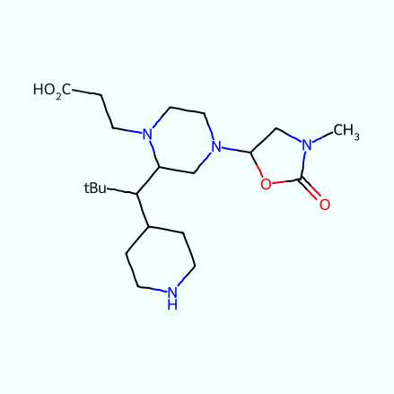 CN1CC(N2CCN(CCC(=O)O)C(C(C3CCNCC3)C(C)(C)C)C2)OC1=O